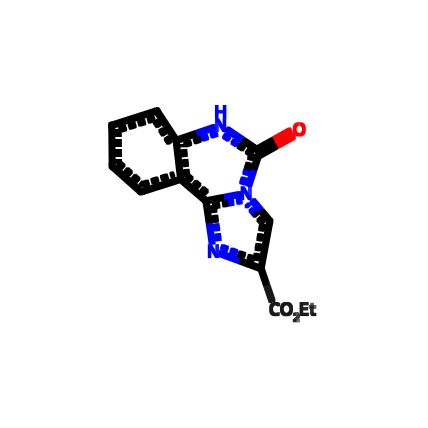 CCOC(=O)c1cn2c(=O)[nH]c3ccccc3c2n1